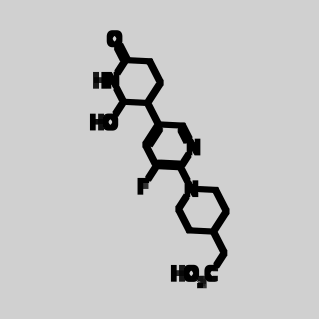 O=C(O)CC1CCN(c2ncc(C3CCC(=O)NC3O)cc2F)CC1